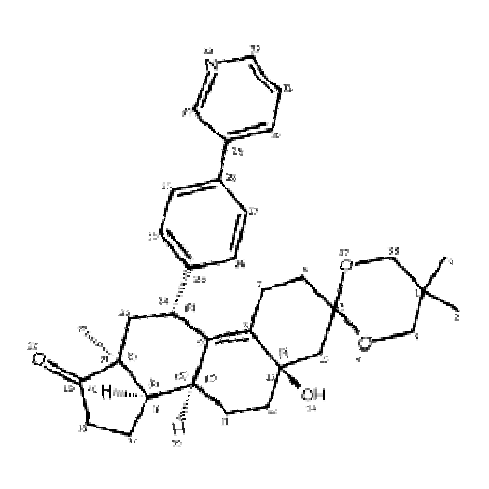 CC1(C)COC2(CCC3=C4[C@@H](CC[C@@]3(O)C2)[C@H]2CCC(=O)[C@@]2(C)C[C@@H]4c2ccc(-c3cccnc3)cc2)OC1